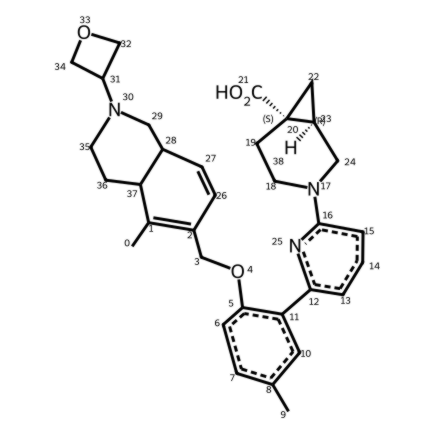 CC1=C(COc2ccc(C)cc2-c2cccc(N3CC[C@@]4(C(=O)O)C[C@H]4C3)n2)C=CC2CN(C3COC3)CCC12